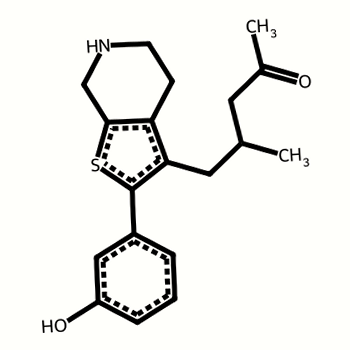 CC(=O)CC(C)Cc1c(-c2cccc(O)c2)sc2c1CCNC2